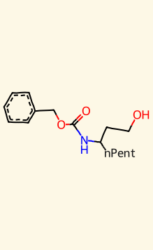 CCCCCC(CCO)NC(=O)OCc1ccccc1